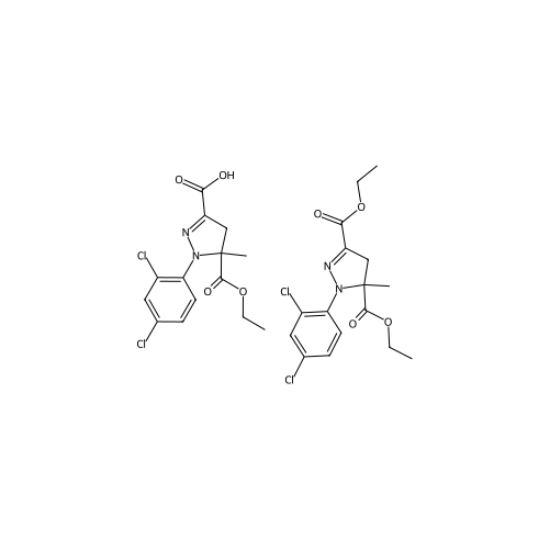 CCOC(=O)C1(C)CC(C(=O)O)=NN1c1ccc(Cl)cc1Cl.CCOC(=O)C1=NN(c2ccc(Cl)cc2Cl)C(C)(C(=O)OCC)C1